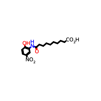 O=C(O)CCCCCCCCC(=O)Nc1cc([N+](=O)[O-])ccc1O